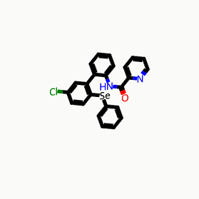 O=C(Nc1ccccc1-c1cc(Cl)ccc1[Se]c1ccccc1)c1ccccn1